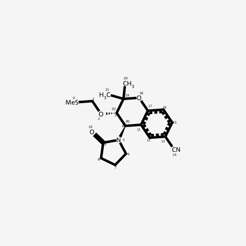 CSCO[C@H]1[C@H](N2CCCC2=O)c2cc(C#N)ccc2OC1(C)C